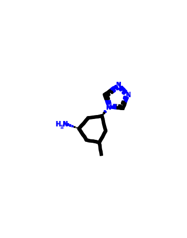 CC1C[C@H](N)C[C@H](n2cnnc2)C1